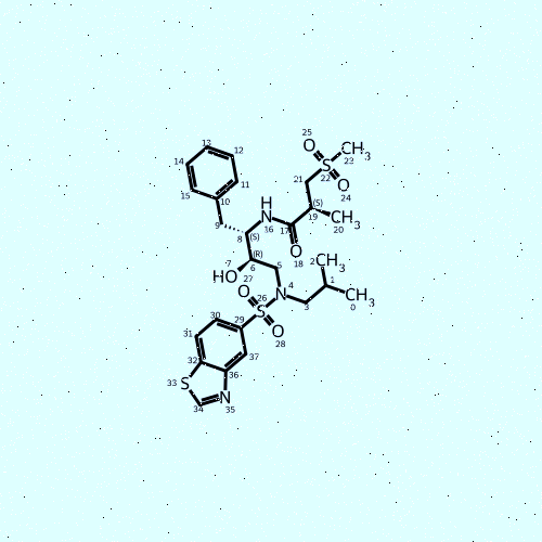 CC(C)CN(C[C@@H](O)[C@H](Cc1ccccc1)NC(=O)[C@H](C)CS(C)(=O)=O)S(=O)(=O)c1ccc2scnc2c1